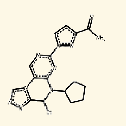 CCC1c2nncn2-c2cnc(-n3ccc(C(N)=O)n3)nc2N1C1CCCC1